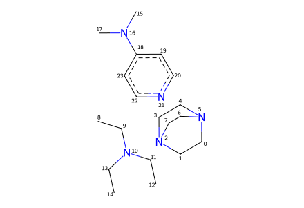 C1CN2CCN1CC2.CCN(CC)CC.CN(C)c1ccncc1